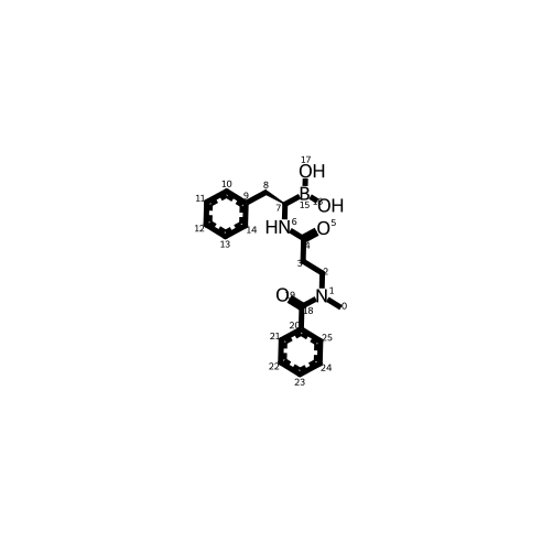 CN(CCC(=O)N[C@@H](Cc1ccccc1)B(O)O)C(=O)c1ccccc1